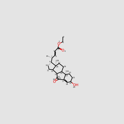 CCOC(=O)/C=C/[C@@H](C)[C@H]1CCC2C3C4=C(O4)C4=CC(O)CC[C@]4(C)C3CC[C@@]21C